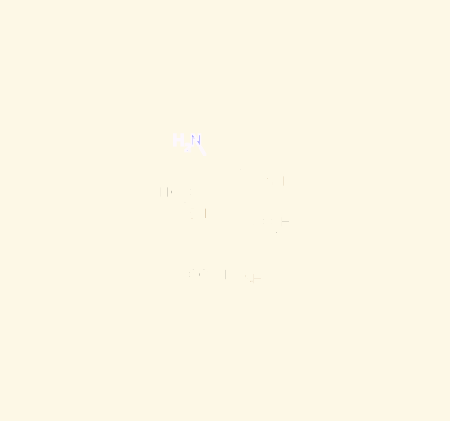 CC(C)(S)C(N)C(=O)O.O=C(O)C(S)C(S)C(=O)O